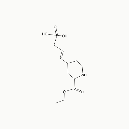 CCOC(=O)C1CC(C=CCP(=O)(O)O)CCN1